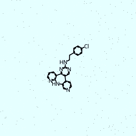 Clc1ccc(CCNc2ncc3c(n2)-c2cccnc2Nc2cnccc2-3)cc1